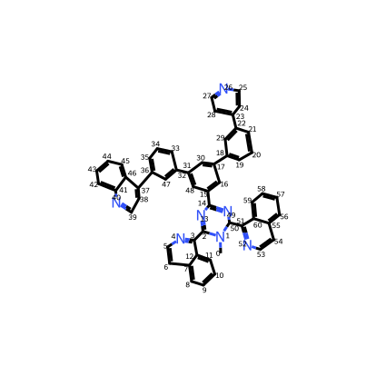 CN1C(c2nccc3ccccc23)=NC(c2cc(-c3cccc(-c4ccncc4)c3)cc(-c3cccc(-c4ccnc5ccccc45)c3)c2)=NC1c1nccc2ccccc12